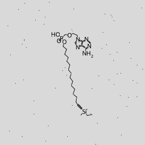 CC[Si](C)(C)C#CCCCCCCCCCCCCCCCOP(=O)(O)CO[C@H](C)Cn1cnc2c(N)ncnc21